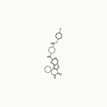 O=C1NCC2(CCCCC2)n2c1cc1cnc(NC3CCC(NCc4ccc(F)cc4)CC3)nc12